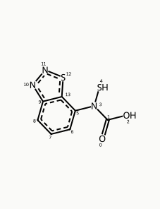 O=C(O)N(S)c1cccc2nnsc12